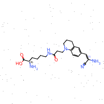 N#C/C(N)=C\c1ccc2c(c1)CCCN2CCC(=O)NCCCC[C@@H](N)C(=O)O